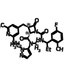 CCC(NC(=O)N1C(=O)[C@H](Cc2cc(C)nc(N)c2)[C@H]1C(=O)N(C)c1ccnn1C)c1cc(F)ccc1C